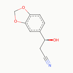 N#CC[C@H](O)c1ccc2c(c1)OCO2